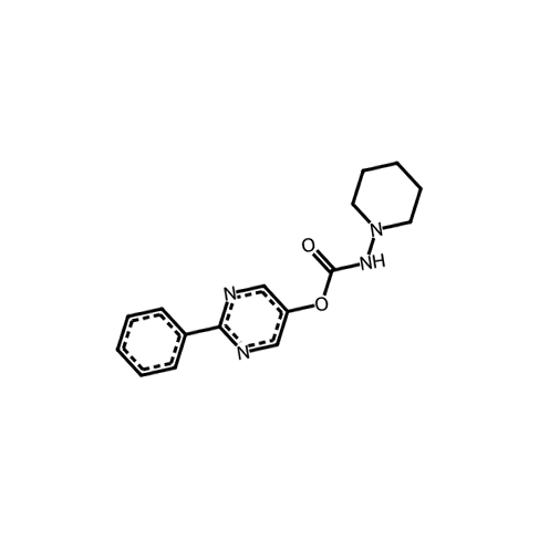 O=C(NN1CCCCC1)Oc1cnc(-c2ccccc2)nc1